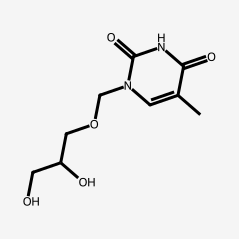 Cc1cn(COCC(O)CO)c(=O)[nH]c1=O